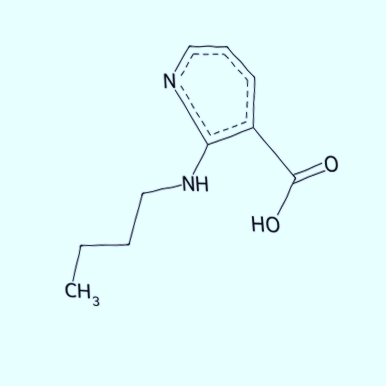 CCCCNc1ncccc1C(=O)O